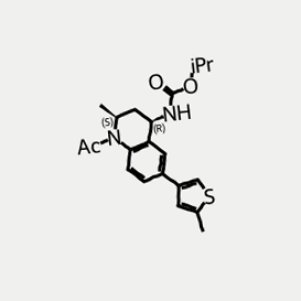 CC(=O)N1c2ccc(-c3csc(C)c3)cc2[C@H](NC(=O)OC(C)C)C[C@@H]1C